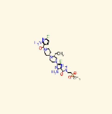 CC[C@H]1CN(c2nc(N)c(C(=O)NCCS(C)(=O)=O)nc2Cl)CCN1C1CCN(C(=O)c2ccc(Cl)nc2N)CC1